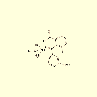 CC(C)(C)NN.COc1cccc(C(=O)c2c(C)cccc2C(=O)Cl)c1.Cl.Cl